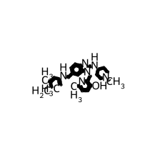 C=CC(C)=CC(=CC)NCc1ccc2nc(NC3CCN(C)CC3)n(Cc3nc(C)ccc3O)c2c1